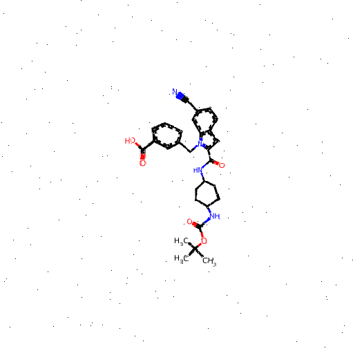 CC(C)(C)OC(=O)NC1CCC(NC(=O)c2cc3ccc(C#N)cc3n2Cc2cccc(C(=O)O)c2)CC1